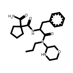 CCCN(C(=O)C(Cc1ccccc1)NC(=O)C1(C(N)=O)CCCC1)C1COCCN1